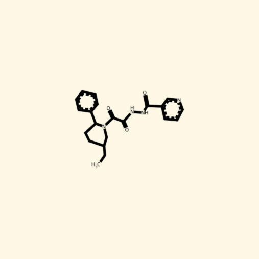 CCC1CCC(c2ccccc2)N(C(=O)C(=O)NNC(=O)c2cccnc2)C1